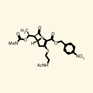 CNC(=O)O[C@@H](C)[C@H]1C(=O)N2C(C(=O)OCc3ccc([N+](=O)[O-])cc3)=C(SCCNC(C)=O)C[C@H]12